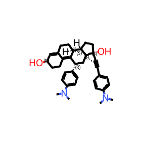 CN(C)c1ccc(C#C[C@]2(O)CC[C@H]3[C@@H]4CCC5=C[C@H](O)CCC5=C4[C@@H](c4ccc(N(C)C)cc4)C[C@@]32C)cc1